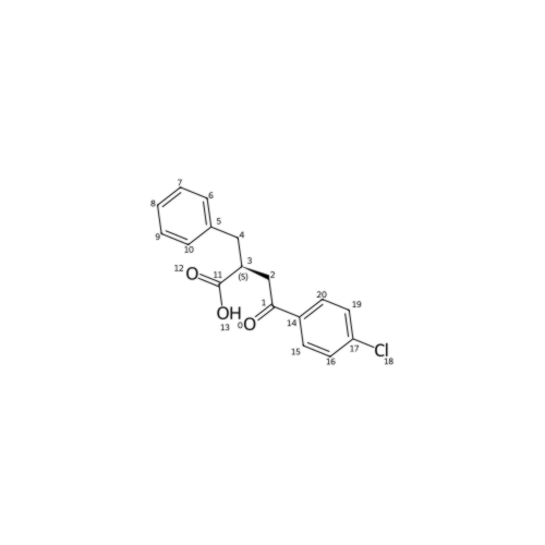 O=C(C[C@H](Cc1ccccc1)C(=O)O)c1ccc(Cl)cc1